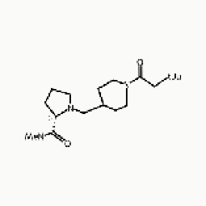 CNC(=O)[C@@H]1CCCN1CC1CCN(C(=O)CC(C)(C)C)CC1